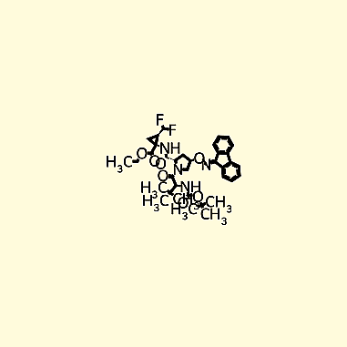 CCOC(=O)[C@@]1(NC(=O)[C@@H]2C[C@@H](ON=C3c4ccccc4-c4ccccc43)CN2C(=O)[C@@H](NC(=O)OC(C)(C)C)C(C)(C)C)C[C@H]1C(F)F